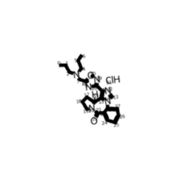 CCCN(CCC)Cc1nc(-c2ncn3c2[C@@H]2CCCN2C(=O)c2ccccc2-3)no1.Cl